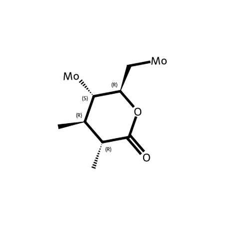 C[C@H]1[C@H]([Mo])[C@@H]([CH2][Mo])OC(=O)[C@@H]1C